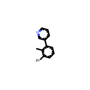 Cc1c(-c2cccnc2)cccc1C(C)C